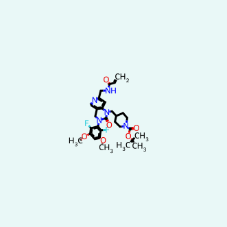 C=CC(=O)NCc1cc2c(cn1)CN(c1c(F)c(OC)cc(OC)c1F)C(=O)N2CC1CCN(C(=O)OC(C)(C)C)CC1